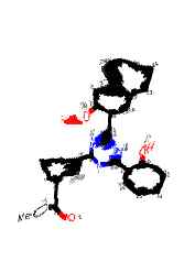 COC(=O)c1cccc(-c2nc(-c3ccccc3O)nc(-c3cc4ccccc4cc3O)n2)c1